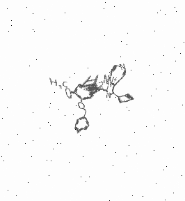 COc1ccc(C2=NC(C3=CC=C3)=C3C=NC=C[N+]23N)cc1OCc1ccccc1